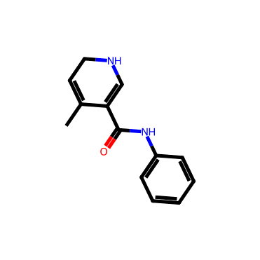 CC1=CCNC=C1C(=O)Nc1ccccc1